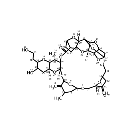 C=C1C(C)CC2CC[C@@H]3OC(CC[C@@]45CC6OC7C(O4)[C@H]4OC(CCC4O[C@H]7C6O5)CC(=O)OC4[C@@H](C)C5OC(CCO)C(O)C[C@@H]5O[C@H]4CC1O2)CC3=C